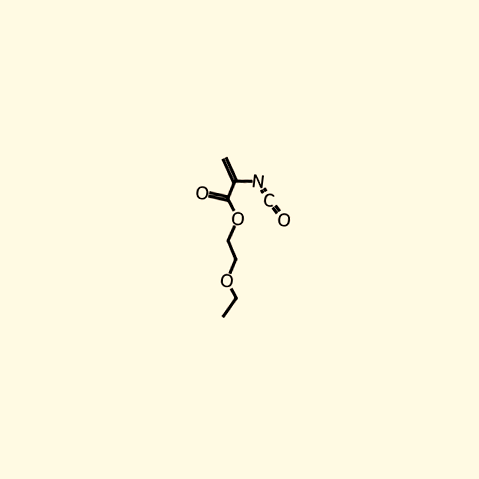 C=C(N=C=O)C(=O)OCCOCC